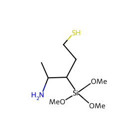 CO[Si](OC)(OC)C(CCS)C(C)N